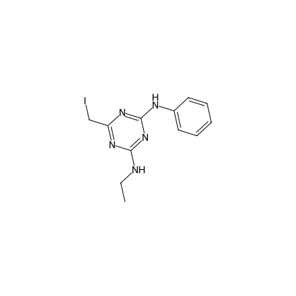 CCNc1nc(CI)nc(Nc2ccccc2)n1